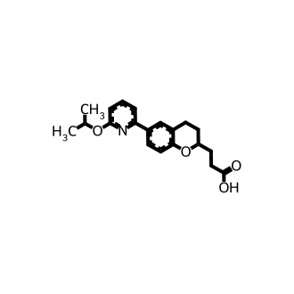 CC(C)Oc1cccc(-c2ccc3c(c2)CCC(CCC(=O)O)O3)n1